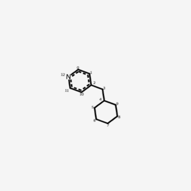 c1cc(CC2CCCCC2)ccn1